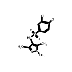 Cc1nn(C)c(C)c1NS(=O)(=O)c1ccc(Cl)c(Cl)c1